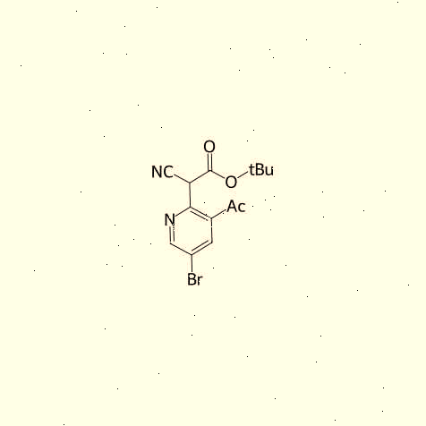 CC(=O)c1cc(Br)cnc1C(C#N)C(=O)OC(C)(C)C